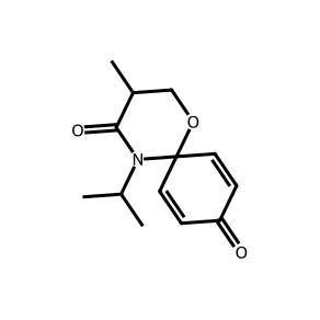 CC1COC2(C=CC(=O)C=C2)N(C(C)C)C1=O